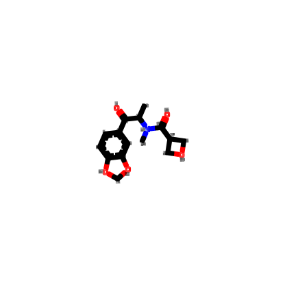 CC(C(=O)c1ccc2c(c1)OCO2)N(C)C(=O)C1COC1